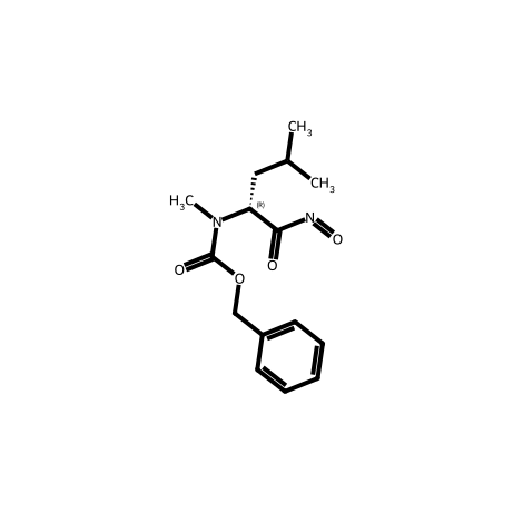 CC(C)C[C@H](C(=O)N=O)N(C)C(=O)OCc1ccccc1